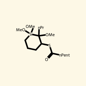 CCCCCC(=O)SC1CCC[Si](OC)(OC)C1(CCC)OC